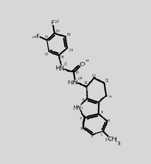 Cc1ccc2[nH]c3c(c2c1)CCCC3NC(=O)Nc1ccc(F)c(F)c1